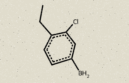 Bc1ccc(CC)c(Cl)c1